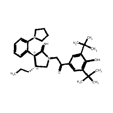 CCC[C@H]1CN(CC(=O)c2cc(C(C)(C)C)c(O)c(C(C)(C)C)c2)C(=N)[C@@H]1c1ccccc1N1CCCC1